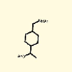 CC(=O)NCC1CCC(C(C)OC(C)=O)CC1